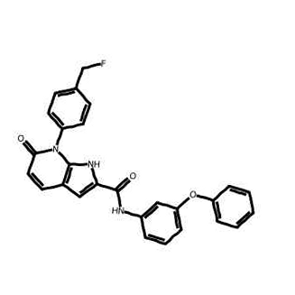 O=C(Nc1cccc(Oc2ccccc2)c1)c1cc2ccc(=O)n(-c3ccc(CF)cc3)c2[nH]1